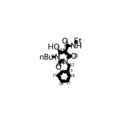 CCCCn1c(O)c(C(=O)NCC)c(=O)n(Cc2ccccc2)c1=O